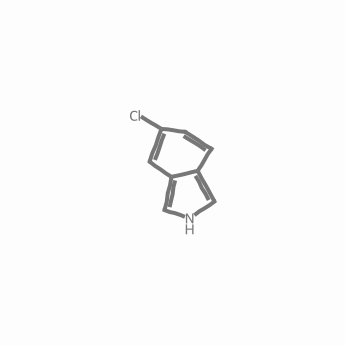 Clc1ccc2c[nH]cc2c1